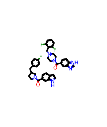 O=C(c1ccc2[nH]cnc2c1)N1CCN(Cc2c(F)cccc2F)CC1.O=C(c1ccc2cc[nH]c2c1)N1CCC(Cc2ccc(F)cc2)C1